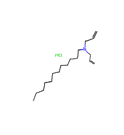 C=CCN(CC=C)CCCCCCCCCCCC.Cl